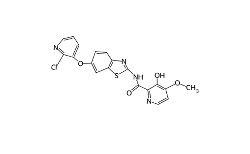 COc1ccnc(C(=O)Nc2nc3ccc(Oc4cccnc4Cl)cc3s2)c1O